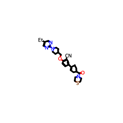 CCc1cnc(N2CCC(COc3ccc(C4=CCC(C(=O)N5CCSCC5)CC4)cc3C#N)CC2)nc1